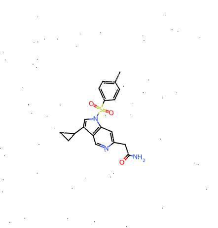 Cc1ccc(S(=O)(=O)n2cc(C3CC3)c3cnc(CC(N)=O)cc32)cc1